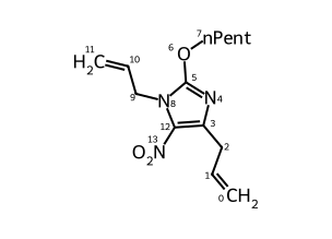 C=CCc1nc(OCCCCC)n(CC=C)c1[N+](=O)[O-]